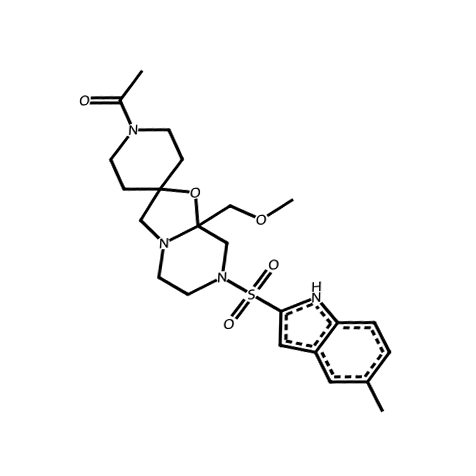 COCC12CN(S(=O)(=O)c3cc4cc(C)ccc4[nH]3)CCN1CC1(CCN(C(C)=O)CC1)O2